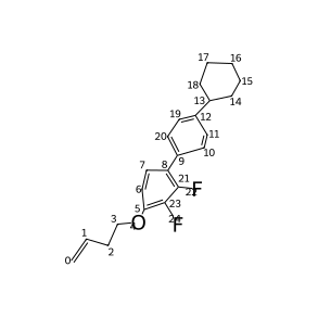 C=CCCOc1ccc(-c2ccc(C3CCCCC3)cc2)c(F)c1F